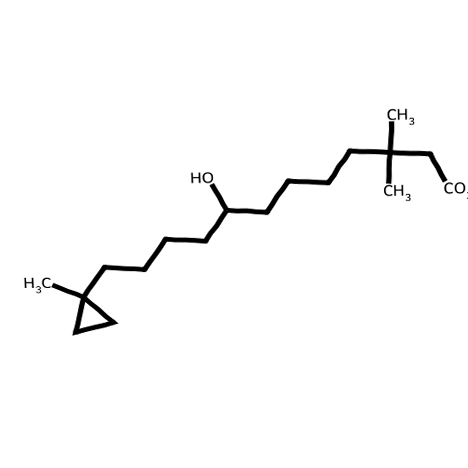 CC(C)(CCCCC(O)CCCCC1(C)CC1)CC(=O)O